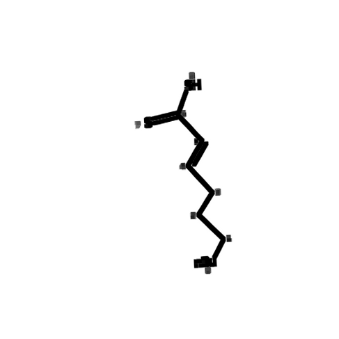 CCCCCCC/C=C/C(=S)S